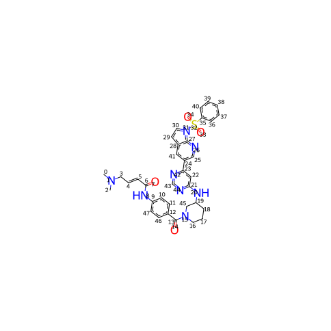 CN(C)C/C=C/C(=O)Nc1ccc(C(=O)N2CCCC(Nc3cc(-c4cnc5c(ccn5S(=O)(=O)c5ccccc5)c4)ncn3)C2)cc1